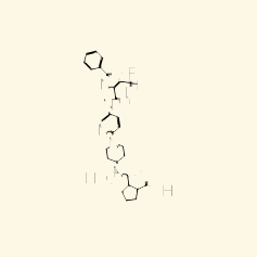 CN(C(=O)C1CCCC1C(=O)O)C1CCN(c2ccc(NC(=O)c3nc(-c4ccccc4)oc3C(F)(F)F)cn2)CC1